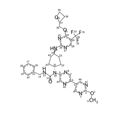 COc1ncc(-c2cnc(N(C(=O)NCc3ccccc3)[C@H]3CC[C@H](Nc4ncc(C(F)(F)F)c(OCC5CCO5)n4)CC3)cn2)cn1